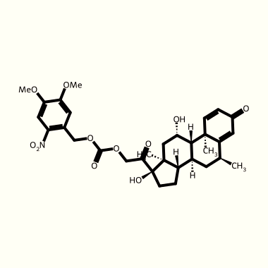 COc1cc(COC(=O)OCC(=O)[C@@]2(O)CC[C@H]3[C@@H]4C[C@H](C)C5=CC(=O)C=C[C@]5(C)[C@H]4[C@@H](O)C[C@@]32C)c([N+](=O)[O-])cc1OC